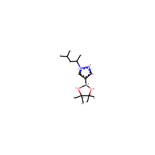 CC(C)CC(C)n1cc(B2OC(C)(C)C(C)(C)O2)cn1